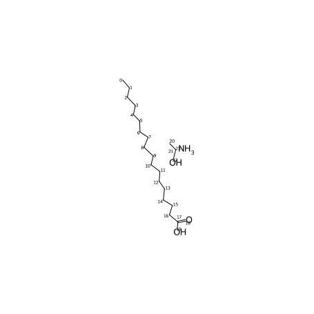 CCCCCCCCCCCCCCCCCC(=O)O.CCO.N